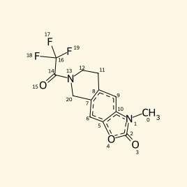 Cn1c(=O)oc2cc3c(cc21)CCN(C(=O)C(F)(F)F)C3